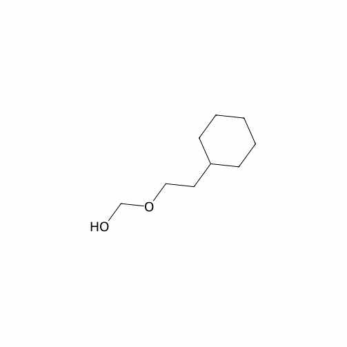 OCOCCC1CCCCC1